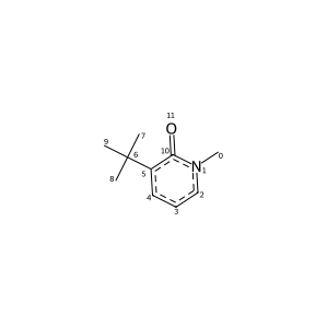 Cn1cccc(C(C)(C)C)c1=O